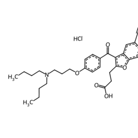 CCCCN(CCCC)CCCOc1ccc(C(=O)c2c(CCC(=O)O)oc3ccc(C#N)cc23)cc1.Cl